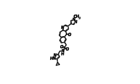 Cn1cc(-c2cnc3ccc4ccc(CS(=O)(=O)NCc5cc(C6CC6)[nH]n5)cc4c(=O)c3c2)cn1